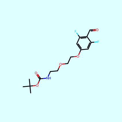 CC(C)(C)OC(=O)NCCOCCOc1cc(F)c(C=O)c(F)c1